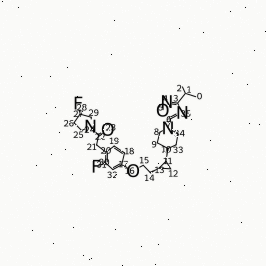 CC(C)c1noc(N2CCC([C@H]3C[C@H]3CCOc3ccc(CC(=O)N4CC[C@@H](F)C4)c(F)c3)CC2)n1